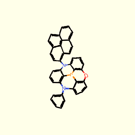 c1ccc(N2c3cccc4c3P3c5c(cccc5N(c5ccc6ccc7cccc8ccc5c6c78)c5cccc2c53)O4)cc1